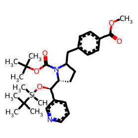 COC(=O)c1ccc(CC2CC[C@H]([C@H](O[Si](C)(C)C(C)(C)C)c3cccnc3)N2C(=O)OC(C)(C)C)cc1